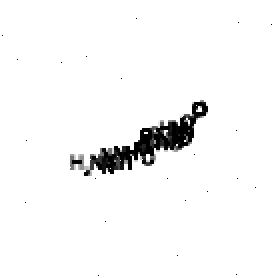 Nc1n[nH]c(NCCCN2CC(=O)N(CC(=O)NC[C@H](NC(=O)OCc3ccccc3)C(=O)O)C2=O)n1